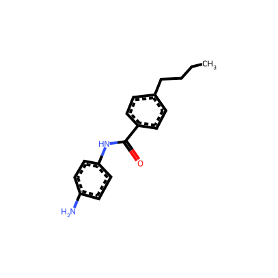 CCCCc1ccc(C(=O)Nc2ccc(N)cc2)cc1